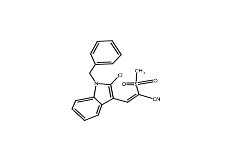 CS(=O)(=O)/C(C#N)=C\c1c(Cl)n(Cc2ccccc2)c2ccccc12